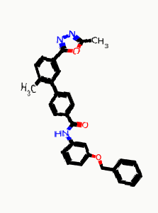 Cc1nnc(-c2ccc(C)c(-c3ccc(C(=O)Nc4cccc(OCc5ccccc5)c4)cc3)c2)o1